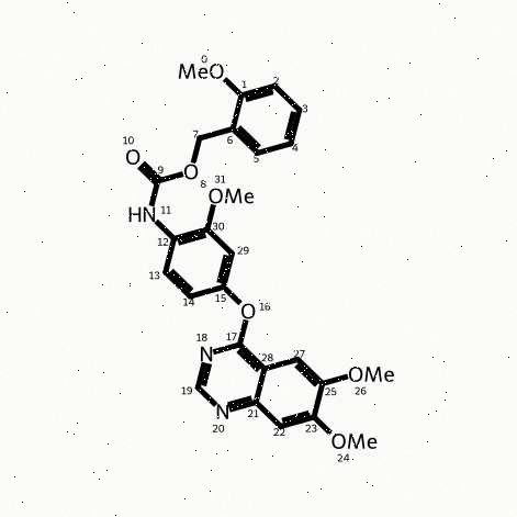 COc1ccccc1COC(=O)Nc1ccc(Oc2ncnc3cc(OC)c(OC)cc23)cc1OC